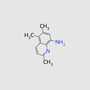 Cc1ccc2c(C)c(C)cc(N)c2n1